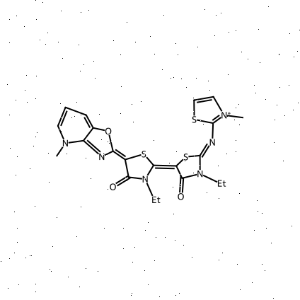 CCN1C(=O)/C(=c2/s/c(=c3/nc4c(o3)=CC=CN4C)c(=O)n2CC)S/C1=N\c1scc[n+]1C